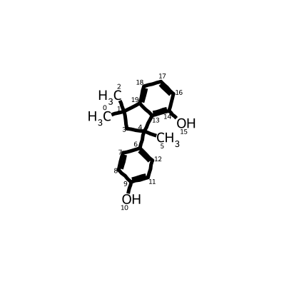 CC1(C)CC(C)(c2ccc(O)cc2)c2c(O)cccc21